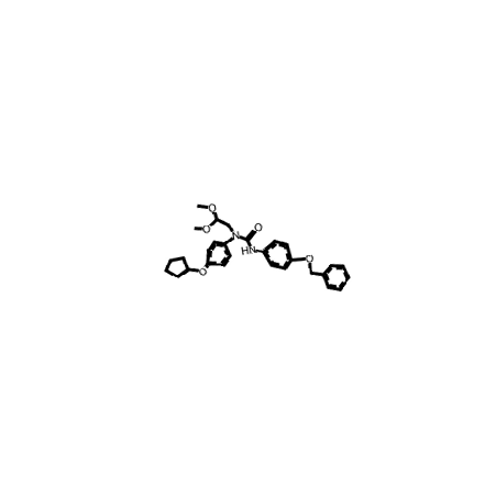 COC(CN(C(=O)Nc1ccc(OCc2ccccc2)cc1)c1ccc(OC2CCCC2)cc1)OC